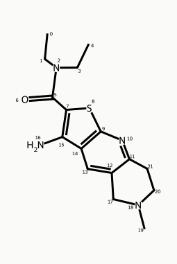 CCN(CC)C(=O)c1sc2nc3c(cc2c1N)CN(C)CC3